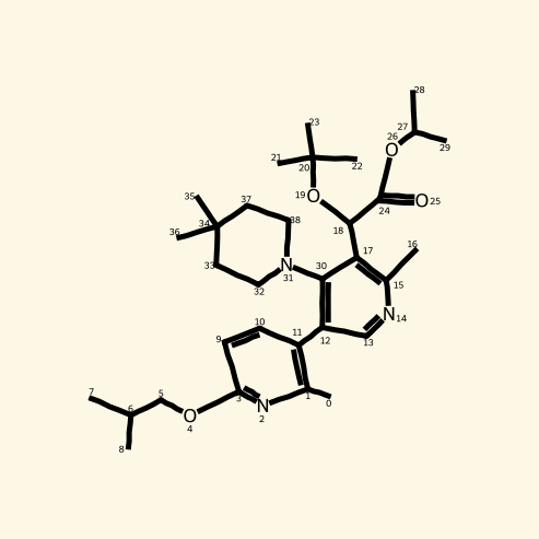 Cc1nc(OCC(C)C)ccc1-c1cnc(C)c(C(OC(C)(C)C)C(=O)OC(C)C)c1N1CCC(C)(C)CC1